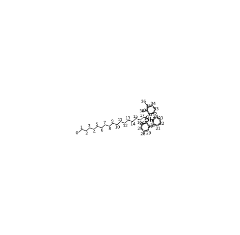 CCCCCCCCCCCCCCCCCC[Si](c1ccccc1)(c1ccccc1)c1cccc(C)c1C